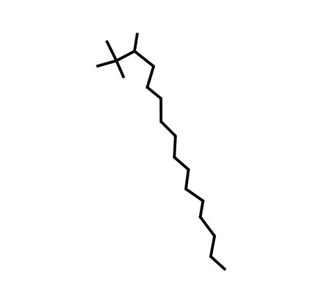 CCCCCCCCCCCCCC(C)C(C)(C)C